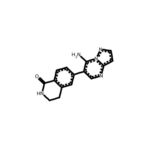 Nc1c(-c2ccc3c(c2)CCNC3=O)cnc2ccnn12